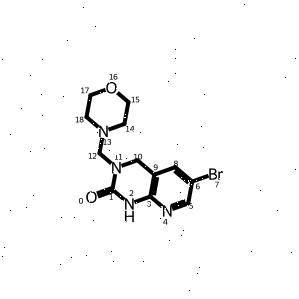 O=C1Nc2ncc(Br)cc2CN1CN1CCOCC1